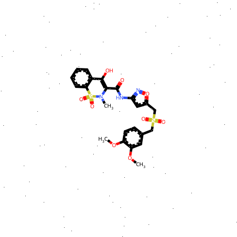 COc1ccc(CS(=O)(=O)Cc2cc(NC(=O)C3=C(O)c4ccccc4S(=O)(=O)N3C)no2)cc1OC